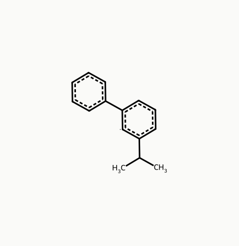 CC(C)c1[c]c(-c2ccccc2)ccc1